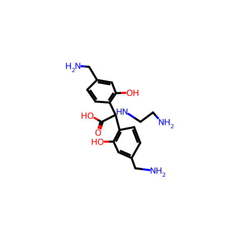 NCCNC(C(=O)O)(c1ccc(CN)cc1O)c1ccc(CN)cc1O